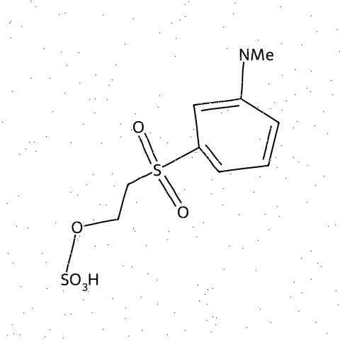 CNc1cccc(S(=O)(=O)CCOS(=O)(=O)O)c1